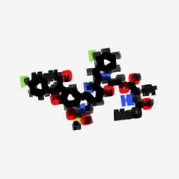 CNC(=O)c1c(-c2ccc(F)cc2)oc2cc(N(C)S(C)(=O)=O)c(-c3ccc4c(n3)-c3cc5c(F)cccc5n3C(COC(=O)[C@@H](NC(=O)OC)C(C)C)O4)cc12